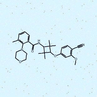 COc1cc(OC2C(C)(C)C(NC(=O)c3cccc(C)c3N3CCOCC3)C2(C)C)ccc1C#N